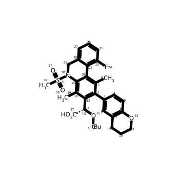 Cc1c(-c2ccc3c(c2)CCCO3)c([C@H](OC(C)(C)C)C(=O)O)c(C)c2c1-c1c(F)cccc1CN2S(C)(=O)=O